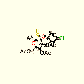 CC(=O)OC[C@H]1O[C@](S)(C(C)=O)[C@H](Oc2ccc(Cl)cc2)[C@@H](OC(C)=O)[C@H]1OC(C)=O